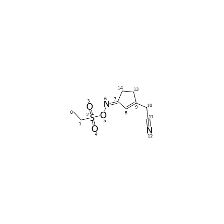 CCS(=O)(=O)O/N=C1\C=C(CC#N)CC1